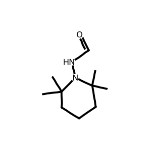 CC1(C)CCCC(C)(C)N1NC=O